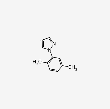 Cc1ccc(C)c(-n2c[c]cn2)c1